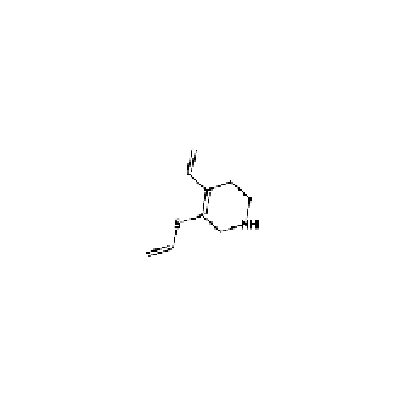 C=CSC1=C(C=C)CCNC1